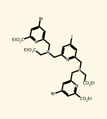 CCOC(=O)CN(Cc1cc(I)cc(CN(CC(=O)OCC)Cc2cc(Br)cc(C(=O)OCC)n2)n1)Cc1cc(Br)cc(C(=O)OCC)n1